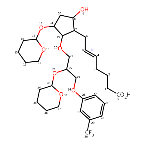 O=C(O)CCC/C=C/CC1C(O)CC(OC2CCCCO2)C1OCC(COc1cccc(C(F)(F)F)c1)OC1CCCCO1